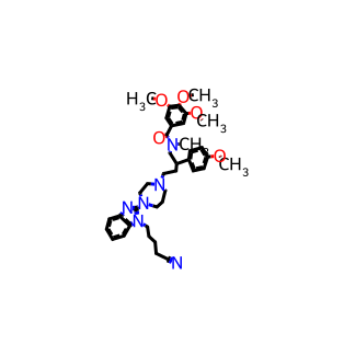 COc1ccc(C(CCN2CCCN(c3nc4ccccc4n3CCCCC#N)CC2)CN(C)C(=O)c2cc(OC)c(OC)c(OC)c2)cc1